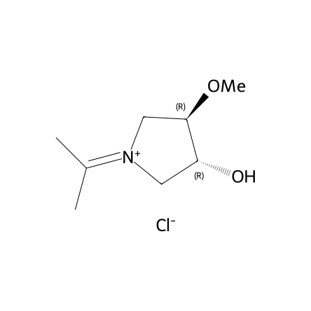 CO[C@@H]1C[N+](=C(C)C)C[C@H]1O.[Cl-]